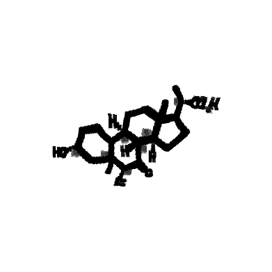 CC[C@H]1C(=O)[C@@H]2[C@H](CCC3(C)C([C@H](C)C(=O)O)CC[C@@H]23)C2CC[C@@H](O)C[C@]21C